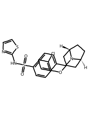 O=S(=O)(Nc1nccs1)c1ccc(OC2C[C@@H]3CC[C@@H](C2)N3Cc2ccccc2)c(Cl)c1